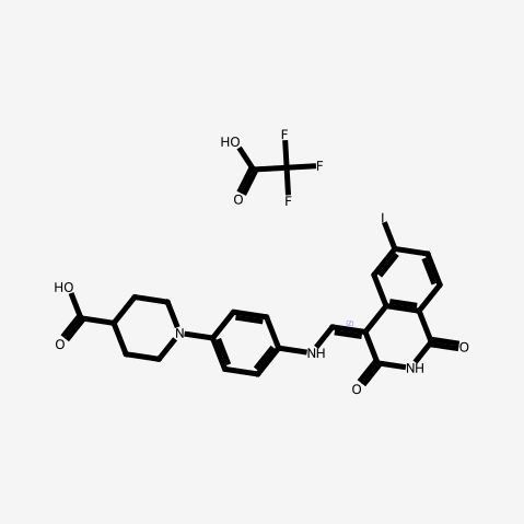 O=C(O)C(F)(F)F.O=C1NC(=O)c2ccc(I)cc2/C1=C/Nc1ccc(N2CCC(C(=O)O)CC2)cc1